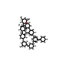 Cc1cc(C)cc(-c2ccc3c4ccc(-c5cc(C)cc(C)c5)cc4n(-c4cc(-c5nc(-c6ccccc6)nc(-c6ccccc6)n5)ccc4-c4cccc(C(F)(F)F)c4)c3c2)c1